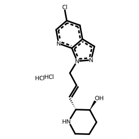 Cl.Cl.O[C@H]1CCCN[C@@H]1/C=C/Cn1ncc2cc(Cl)cnc21